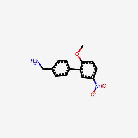 COc1ccc([N+](=O)[O-])cc1-c1ccc(CN)cc1